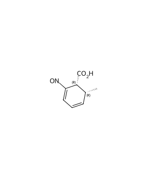 C[C@@H]1C=CC=C(N=O)[C@@H]1C(=O)O